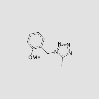 COc1ccccc1Cn1nnnc1C